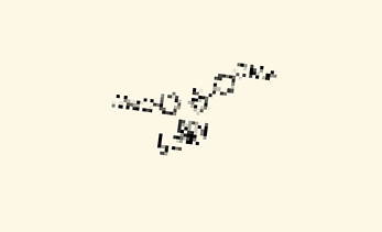 COc1ccc(-c2cc(-c3nnn(C)n3)c(-c3ccc(OC)cc3)s2)cc1